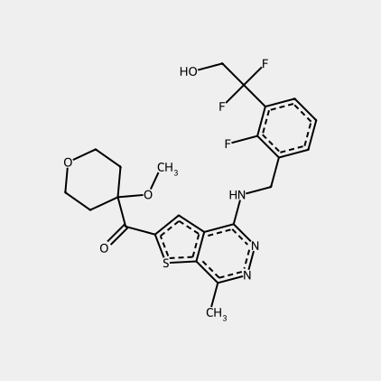 COC1(C(=O)c2cc3c(NCc4cccc(C(F)(F)CO)c4F)nnc(C)c3s2)CCOCC1